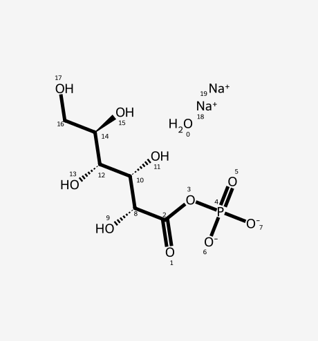 O.O=C(OP(=O)([O-])[O-])[C@H](O)[C@@H](O)[C@H](O)[C@H](O)CO.[Na+].[Na+]